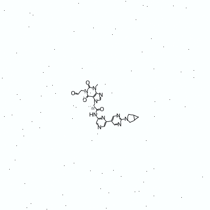 C[C@@H](C(=O)Nc1cncc(-c2cnc(N3CC4CC4C3)nc2)n1)n1cnc2c1c(=O)n(CC=O)c(=O)n2C